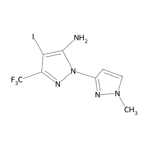 Cn1ccc(-n2nc(C(F)(F)F)c(I)c2N)n1